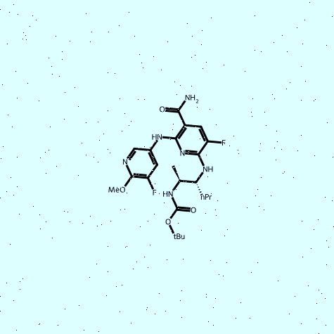 CCC[C@@H](Nc1nc(Nc2cnc(OC)c(F)c2)c(C(N)=O)cc1F)[C@H](C)NC(=O)OC(C)(C)C